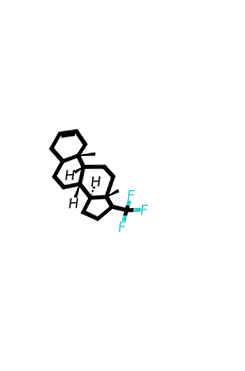 C[C@]12CC=CCC1CC[C@@H]1[C@H]2CC[C@]2(C)C(C(F)(F)F)CC[C@@H]12